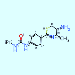 CC(C)NC(=O)Nc1ccc(C2=N[C@H](C)C(N)CS2)cc1